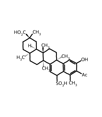 CC(=O)c1c(O)cc2c(c1C)C(S(=O)(=O)O)C=C1[C@@]2(C)CC[C@@]2(C)[C@@H]3C[C@](C)(C(=O)O)CC[C@]3(C)CC[C@]12C